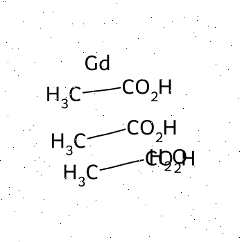 CC(=O)O.CC(=O)O.CC(=O)O.O.[Gd]